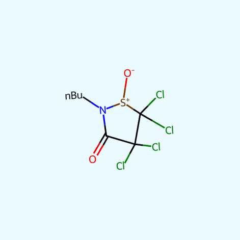 CCCCN1C(=O)C(Cl)(Cl)C(Cl)(Cl)[S+]1[O-]